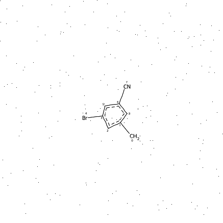 [CH2]c1cc(Br)cc(C#N)c1